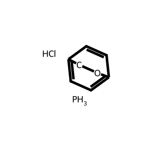 Cl.P.c1cc2ccc1CO2